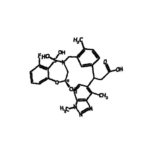 Cc1ccc(C(CC(=O)O)c2ccc3c(nnn3C)c2C)cc1CN1C[C@@H](C)Oc2cccc(F)c2S1(O)O